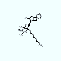 CCCCCCCCC(C#CC1C(O)CC2C1CC21OCCO1)(O[SiH](C)C)C(C)(C)C